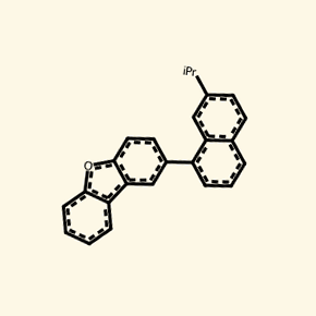 CC(C)c1ccc2cccc(-c3ccc4oc5ccccc5c4c3)c2c1